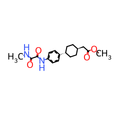 CNC(=O)C(=O)Nc1ccc([C@H]2CC[C@H](CC(=O)OC)CC2)cc1